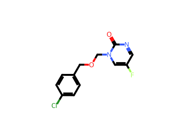 O=c1ncc(F)cn1COCc1ccc(Cl)cc1